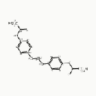 CC(Cc1ccc(OBOc2ccc(CC(C)C(=O)O)cc2)cc1)C(=O)O